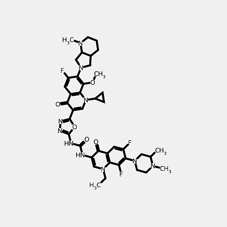 CCn1cc(NC(=O)Nc2nnc(-c3cn(C4CC4)c4c(OC)c(N5CC6CCCN(C)C6C5)c(F)cc4c3=O)o2)c(=O)c2cc(F)c(N3CCN(C)C(C)C3)c(F)c21